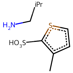 CC(C)CN.Cc1ccsc1S(=O)(=O)O